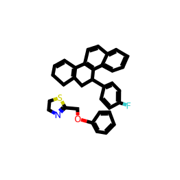 Fc1ccc(C2CC3=C(C=CCC3)c3ccc4ccccc4c32)cc1.c1ccc(OCC2=NCCS2)cc1